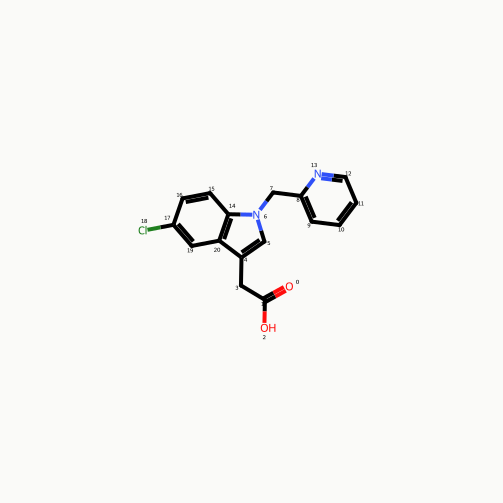 O=C(O)Cc1cn(Cc2ccccn2)c2ccc(Cl)cc12